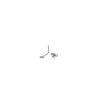 CCO.Cl.[MgH2]